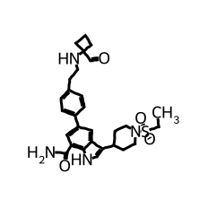 CCS(=O)(=O)N1CCC(c2c[nH]c3c(C(N)=O)cc(-c4ccc(CCNC5(C=O)CCC5)cc4)cc23)CC1